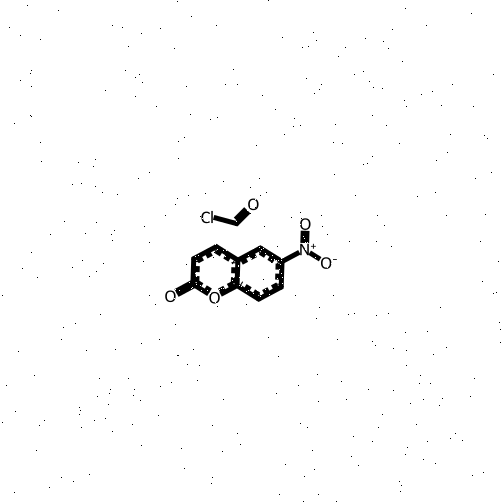 O=CCl.O=c1ccc2cc([N+](=O)[O-])ccc2o1